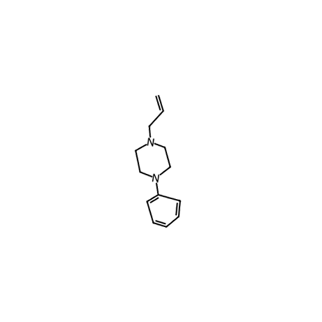 C=CCN1CCN(c2ccccc2)CC1